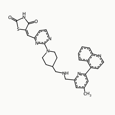 Cc1cc(CNCC2CCN(c3nccc(C=C4SC(=O)NC4=O)n3)CC2)nc(-c2ccnc3ccccc23)c1